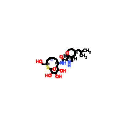 CC(C)C[C@@H]1CCO[C@@H]2[C@H](CN[C@@H]2C(=O)N[C@@H]2C/C=C\C[C@H](CO)SC3OC2C(O)C(O)C3O)C1